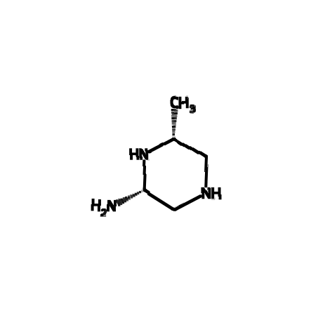 C[C@@H]1CNC[C@H](N)N1